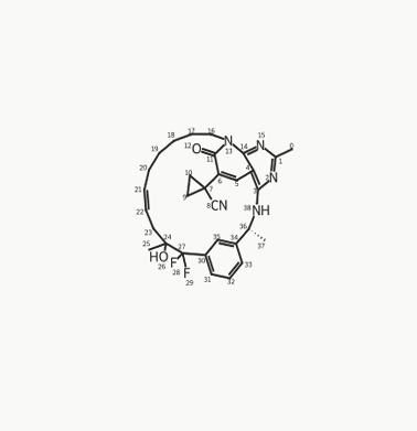 Cc1nc2c3cc(C4(C#N)CC4)c(=O)n(c3n1)CCCCC/C=C\CC(C)(O)C(F)(F)c1cccc(c1)[C@@H](C)N2